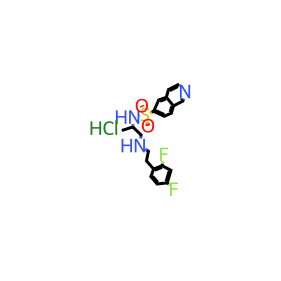 CC(CNCCc1ccc(F)cc1F)NS(=O)(=O)c1ccc2cnccc2c1.Cl